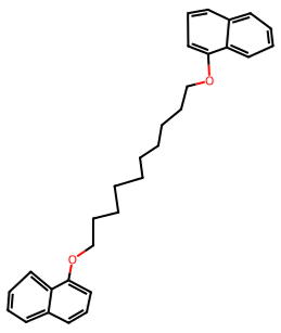 c1ccc2c(OCCCCCCCCCCOc3cccc4ccccc34)cccc2c1